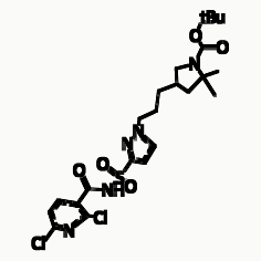 CC(C)(C)OC(=O)N1CC(CCCn2ccc(S(=O)(=O)NC(=O)c3ccc(Cl)nc3Cl)n2)CC1(C)C